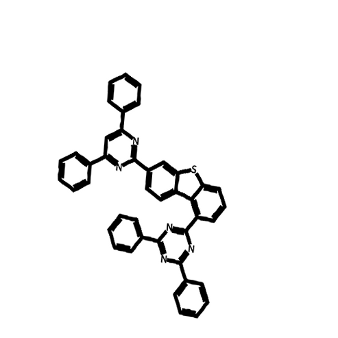 c1ccc(-c2cc(-c3ccccc3)nc(-c3ccc4c(c3)sc3cccc(-c5nc(-c6ccccc6)nc(-c6ccccc6)n5)c34)n2)cc1